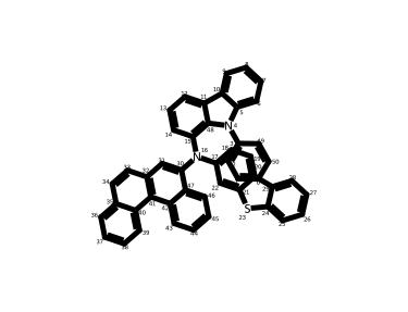 c1ccc(-n2c3ccccc3c3cccc(N(c4ccc5c(c4)sc4ccccc45)c4cc5ccc6ccccc6c5c5ccccc45)c32)cc1